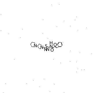 O=C(Nc1nnc(N2CCC(N3CCCCC3)CC2)s1)c1cc2ccccc2o1